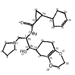 O=C(N[C@H](CN1CCCC1)[C@H](O)C1CCC2=C(C1)OCCO2)C1CC1C1CC=CCC1